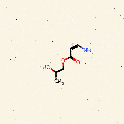 CC(O)COC(=O)/C=C\N